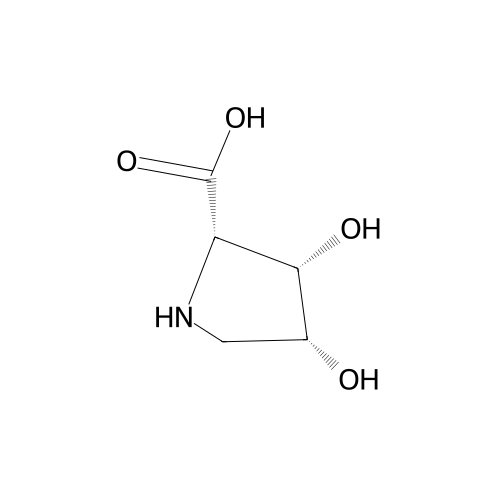 O=C(O)[C@H]1NC[C@@H](O)[C@H]1O